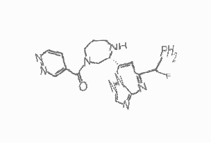 O=C(c1ccnnc1)N1CCCN[C@H](c2cc(C(F)P)nc3ncnn23)C1